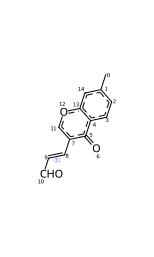 Cc1ccc2c(=O)c(/C=C/C=O)coc2c1